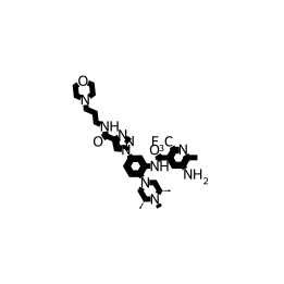 Cc1nc(C(F)(F)F)c(C(=O)Nc2cc(-n3cc(C(=O)NCCCN4CCOCC4)nn3)ccc2N2C[C@@H](C)N(C)[C@@H](C)C2)cc1N